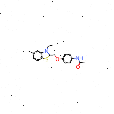 CCN1c2cc(C)ccc2SC1COc1ccc(NC(C)=O)cc1